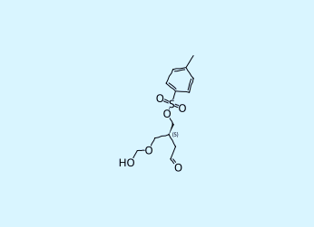 Cc1ccc(S(=O)(=O)OC[C@@H](CC=O)COCO)cc1